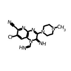 CN1CCN(c2nc3nc(C#N)c(Cl)cc3n(C=N)c2=N)CC1